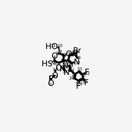 O=POCO[C@@H]1[C@H](S)O[C@@H](CO)[C@@H](O)[C@@]1(c1cncc(Br)c1)n1cc(-c2cc(F)c(F)c(F)c2)nn1